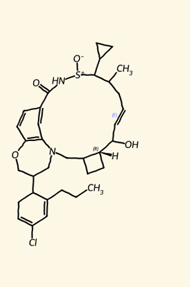 CCCC1=CC(Cl)=CCC1C1COc2ccc3cc2N(C1)CC1CC[C@H]1C(O)/C=C/CC(C)C(C1CC1)[S+]([O-])NC3=O